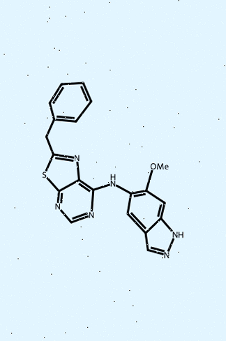 COc1cc2[nH]ncc2cc1Nc1ncnc2sc(Cc3ccccc3)nc12